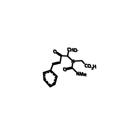 CNC(=O)N(CC(=O)O)C([C]=O)C(=O)C=Cc1ccccc1